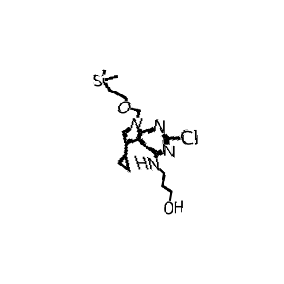 C[Si](C)(C)CCOCn1cc(C2CC2)c2c(NCCCO)nc(Cl)nc21